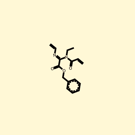 C=C/N=C(/C(=O)OCc1ccccc1)N(CC)C(=O)C=C